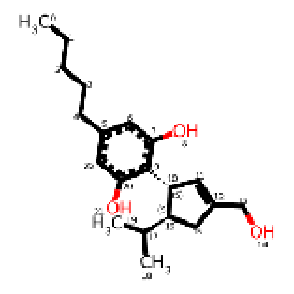 CCCCCc1cc(O)c([C@@H]2C=C(CO)C[C@H]2C(C)C)c(O)c1